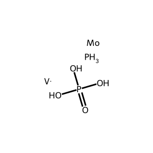 O=P(O)(O)O.P.[Mo].[V]